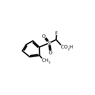 Cc1ccccc1S(=O)(=O)C(F)C(=O)O